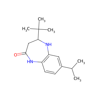 CC(C)c1ccc2c(c1)NC(C(C)(C)C)CC(=O)N2